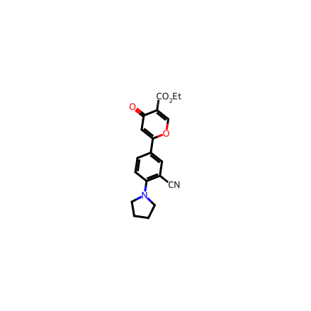 CCOC(=O)c1coc(-c2ccc(N3CCCC3)c(C#N)c2)cc1=O